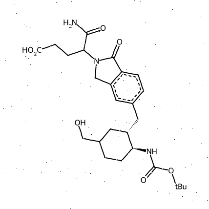 CC(C)(C)OC(=O)N[C@H]1CCC(CO)C[C@@H]1Cc1ccc2c(c1)CN(C(CCC(=O)O)C(N)=O)C2=O